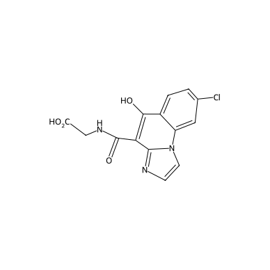 O=C(O)CNC(=O)c1c(O)c2ccc(Cl)cc2n2ccnc12